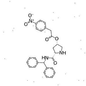 O=C(Cc1ccc([N+](=O)[O-])cc1)O[C@@H]1CN[C@H](C(=O)NC(c2ccccc2)c2ccccc2)C1